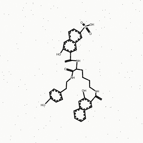 C=C(NCCCCC(NC(=C)c1cc2cc(S(=O)(=O)O)ccc2cc1O)C(=O)NCCc1ccc(O)cc1)c1cc2ccccc2cc1O